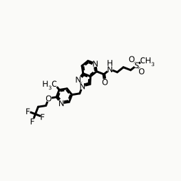 Cc1cc(Cn2cc3c(C(=O)NCCCS(C)(=O)=O)nccc3n2)cnc1OCCC(F)(F)F